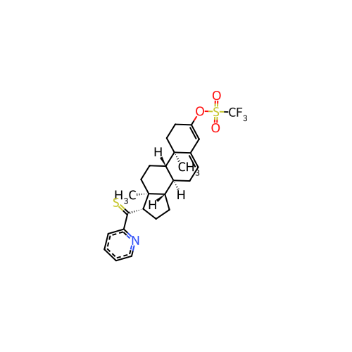 C[C@]12CC[C@H]3[C@@H](CC=C4C=C(OS(=O)(=O)C(F)(F)F)CC[C@@]43C)[C@@H]1CC[C@@H]2C(=S)c1ccccn1